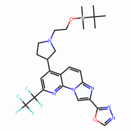 CC(C)(C)[Si](C)(C)OCCN1CCC(c2cc(C(F)(F)C(F)(F)F)nc3c2ccc2nc(-c4nnco4)cn23)C1